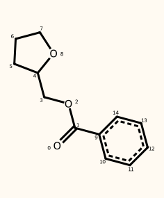 O=C(OCC1CCCO1)c1ccccc1